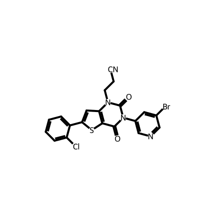 N#CCCn1c(=O)n(-c2cncc(Br)c2)c(=O)c2sc(-c3ccccc3Cl)cc21